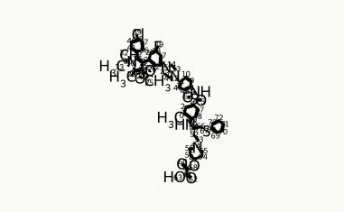 Cc1cc(S(=O)(=O)Nc2ccc(N3CCN(c4cc(F)cc(-c5c(S(C)(=O)=O)c(C)n(C(C)C)c5-c5ccc(Cl)cc5)c4)CC3)cc2)ccc1N[C@H](CCN1CCC(OC(=O)C(=O)O)CC1)CSc1ccccc1